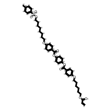 C=CC(=O)OCCCCCCOc1ccc(C(=O)Oc2ccc(OC(=O)c3ccc(OCCCCCCCCOS(=O)(=O)c4ccc(C)cc4)cc3)cc2)cc1